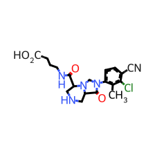 Cc1c(N2CN3C(C(=O)NCCCC(=O)O)CNCC3C2=O)ccc(C#N)c1Cl